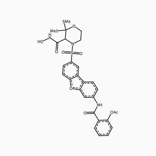 CSC1(SC)OCCN(S(=O)(=O)c2ccc3oc4cc(NC(=O)c5ccccc5OC(C)=O)ccc4c3c2)C1C(=O)NO